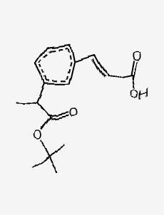 CC(C(=O)OC(C)(C)C)c1cccc(C=CC(=O)O)c1